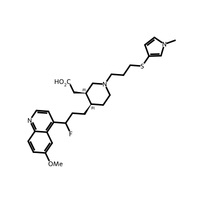 COc1ccc2nccc(C(F)CC[C@@H]3CCN(CCCSc4ccn(C)c4)C[C@@H]3CC(=O)O)c2c1